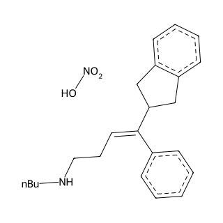 CCCCNCCC=C(c1ccccc1)C1Cc2ccccc2C1.O=[N+]([O-])O